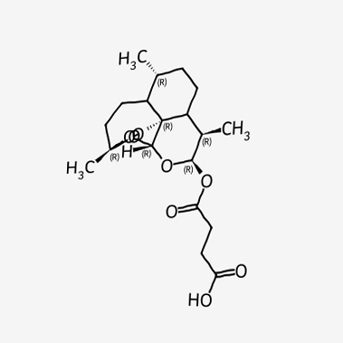 C[C@@H]1CCC2[C@@H](C)[C@@H](OC(=O)CCC(=O)O)O[C@@H]3O[C@@]4(C)CCC1[C@@]23OO4